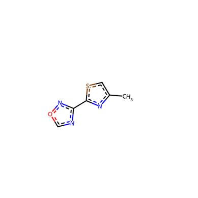 Cc1csc(-c2ncon2)n1